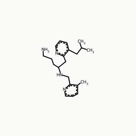 Cc1cccnc1CNC(CCCN)Cc1ncccc1CC(C)C